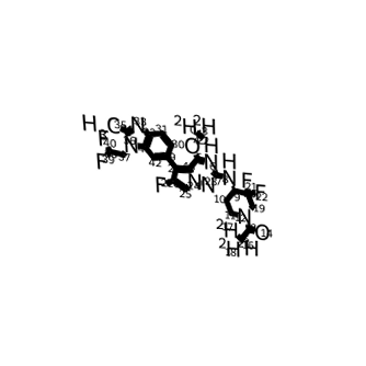 [2H]C([2H])([2H])Oc1nc(N[C@@H]2CCN(C(=O)C([2H])([2H])[2H])CC2(F)F)nn2cc(F)c(-c3ccc4nc(C)n(CC(F)F)c4c3)c12